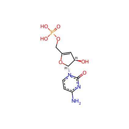 Nc1ccn([C@@H]2OC(COP(=O)(O)O)=C[C@H]2O)c(=O)n1